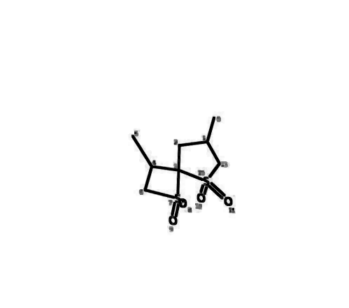 CC1CC2(C(C)CS2(=O)=O)S(=O)(=O)C1